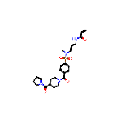 C=CC(=O)NCCCN(C)S(=O)(=O)c1ccc(C(=O)N2CCC(C(=O)N3CCCC3)CC2)cc1